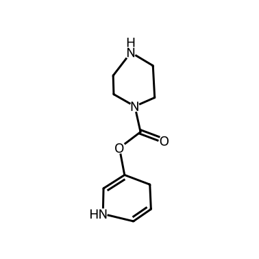 O=C(OC1=CNC=CC1)N1CCNCC1